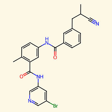 Cc1ccc(NC(=O)c2cccc(CC(C)C#N)c2)cc1C(=O)Nc1cncc(Br)c1